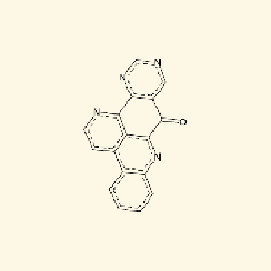 O=C1c2cncnc2-c2nccc3c2c1nc1ccccc13